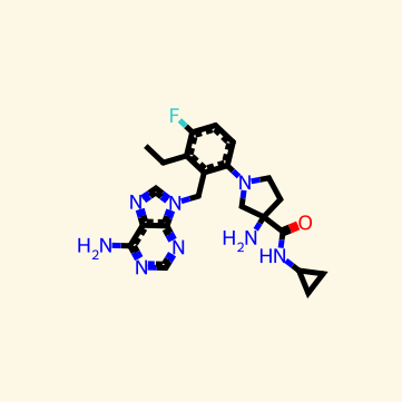 CCc1c(F)ccc(N2CCC(N)(C(=O)NC3CC3)C2)c1Cn1cnc2c(N)ncnc21